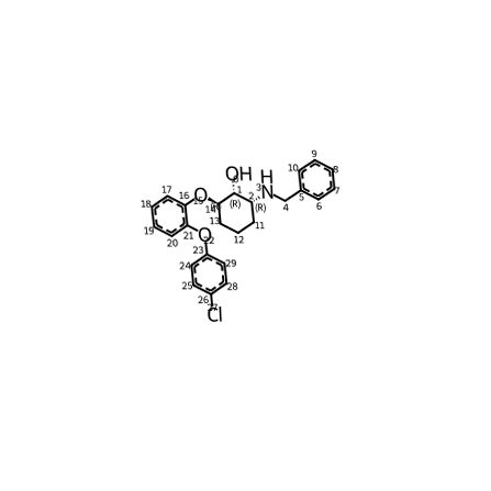 O[C@@H]1[C@H](NCc2ccccc2)CCC[C@H]1Oc1ccccc1Oc1ccc(Cl)cc1